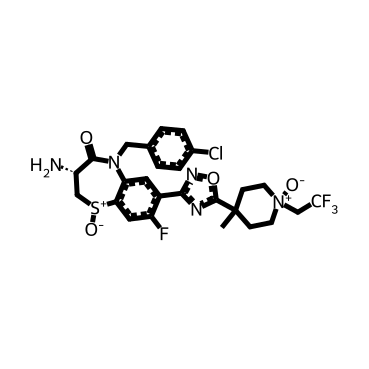 CC1(c2nc(-c3cc4c(cc3F)[S+]([O-])C[C@H](N)C(=O)N4Cc3ccc(Cl)cc3)no2)CC[N+]([O-])(CC(F)(F)F)CC1